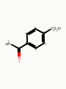 CCCC(=O)c1ccc(C(=O)O)cc1